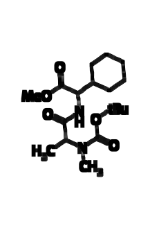 COC(=O)C(NC(=O)C(C)N(C)C(=O)OC(C)(C)C)C1CCCCC1